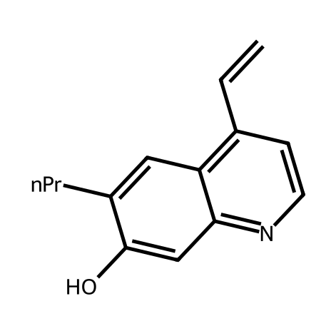 C=Cc1ccnc2cc(O)c(CCC)cc12